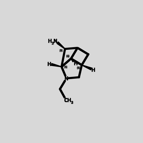 CCN1C[C@H]2CC3[C@H]2[C@H]1[C@H]3N